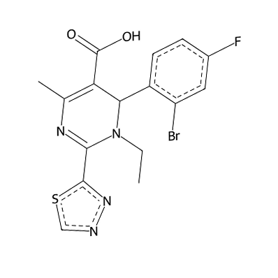 CCN1C(c2nncs2)=NC(C)=C(C(=O)O)C1c1ccc(F)cc1Br